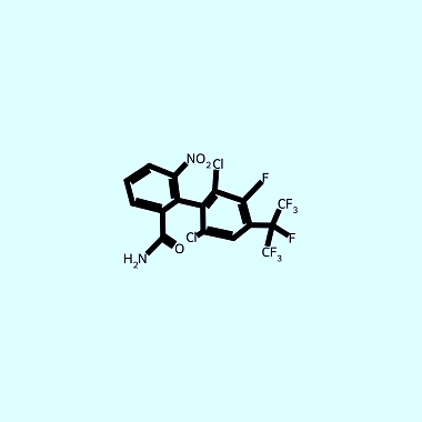 NC(=O)c1cccc([N+](=O)[O-])c1-c1c(Cl)cc(C(F)(C(F)(F)F)C(F)(F)F)c(F)c1Cl